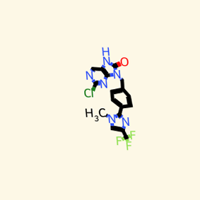 Cn1cc(C(F)(F)F)nc1-c1ccc(Cn2c(=O)[nH]c3cnc(Cl)nc32)cc1